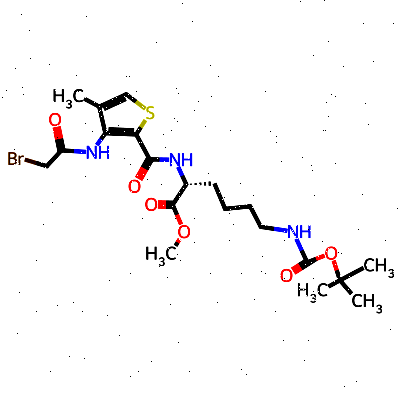 COC(=O)[C@@H](CCCCNC(=O)OC(C)(C)C)NC(=O)c1scc(C)c1NC(=O)CBr